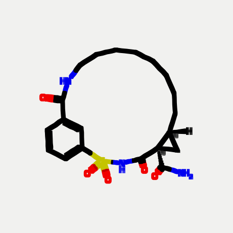 NC(=O)[C@@]12C[C@H]1CCCCCCCCNC(=O)c1cccc(c1)S(=O)(=O)NC2=O